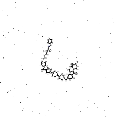 O=C(/C=C/c1cccnc1)NCCCCC1CCN(C(=O)c2ccc(N3CCC(N4CCN(Cc5ccc6c(c5)C(=O)N(C5CCC(=O)NC5=O)C6=O)CC4)CC3)nn2)CC1